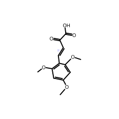 COc1cc(OC)c(/C=C/C(=O)C(=O)O)c(OC)c1